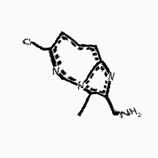 Cc1c(N)nc2ccc(Cl)nn12